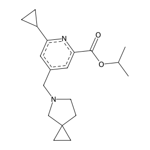 CC(C)OC(=O)c1cc(CN2CCC3(CC3)C2)cc(C2CC2)n1